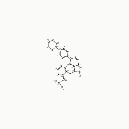 Cc1nc2ccc(-c3cnc(N4CCOCC4)nc3)nn2c1Cc1ccccc1OC(F)F